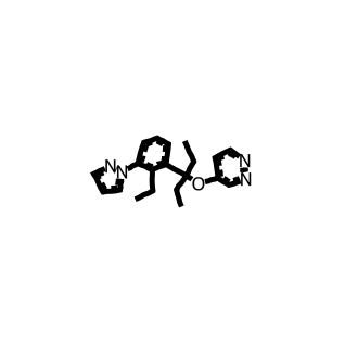 CCc1c(-n2cccn2)cccc1C(CC)(CC)Oc1ccnnc1